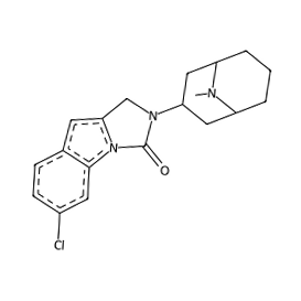 CN1C2CCCC1CC(N1Cc3cc4ccc(Cl)cc4n3C1=O)C2